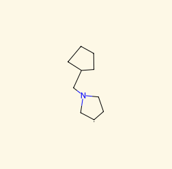 [CH]1CCN(CC2CCCC2)C1